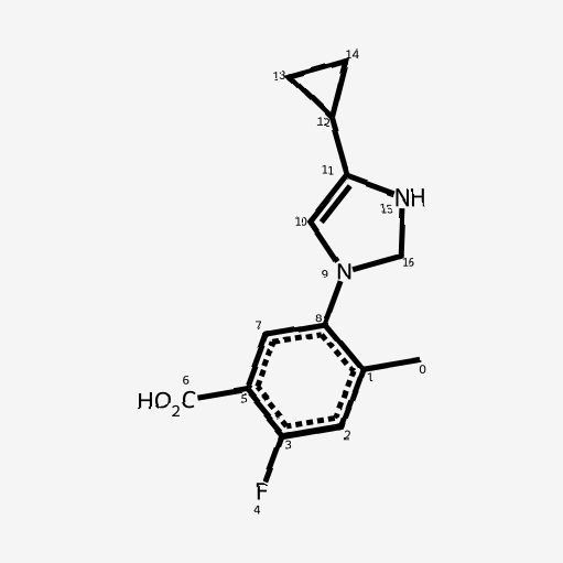 Cc1cc(F)c(C(=O)O)cc1N1C=C(C2CC2)NC1